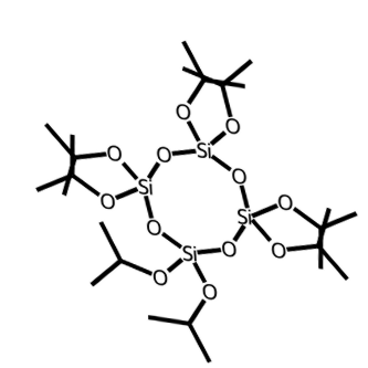 CC(C)O[Si]1(OC(C)C)O[Si](OC(C)C)(OC(C)C)O[Si](OC(C)C)(OC(C)C)O[Si](OC(C)C)(OC(C)C)O1